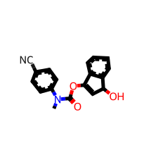 CN(C(=O)OC1=CC(O)c2ccccc21)c1ccc(C#N)cc1